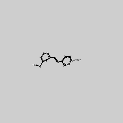 OCc1cccc(C=Cc2ccc(Cl)cc2)c1